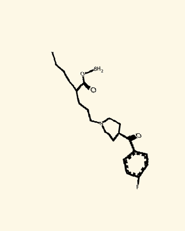 BOC(=O)C(CCCC)CCCN1CCC(C(=O)c2ccc(F)cc2)CC1